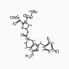 COC(=O)[C@@H]1CC(CC(=O)N2CCc3c(C)nn(Cc4ccc(Cl)cc4F)c3C2)CN1C(=O)OC(C)(C)C